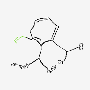 CCCCCC(CCCC)c1c(F)cccc1C(CC)CC